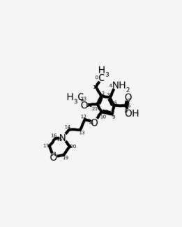 CCc1c(N)c(C(=O)O)cc(OCCCN2CCOCC2)c1OC